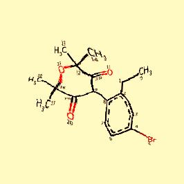 CCc1cc(Br)ccc1C1C(=O)C(C)(C)OC(C)(C)C1=O